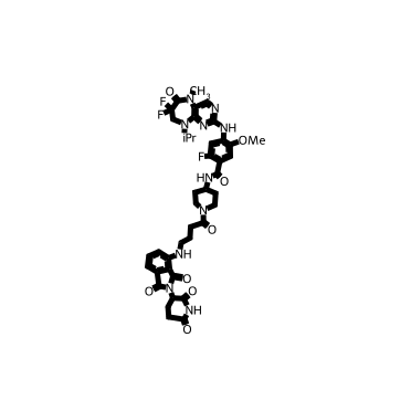 COc1cc(C(=O)NC2CCN(C(=O)CCCNc3cccc4c3C(=O)N(C3CCC(=O)NC3=O)C4=O)CC2)c(F)cc1Nc1ncc2c(n1)N(C(C)C)CC(F)(F)C(=O)N2C